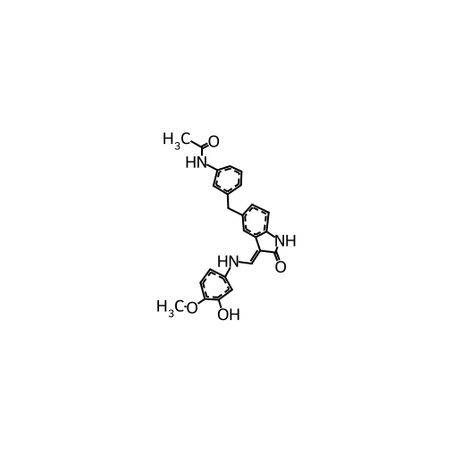 COc1ccc(N/C=C2/C(=O)Nc3ccc(Cc4cccc(NC(C)=O)c4)cc32)cc1O